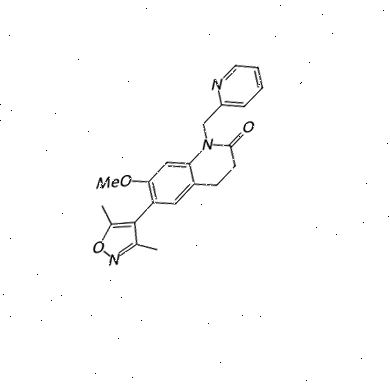 COc1cc2c(cc1-c1c(C)noc1C)CCC(=O)N2Cc1ccccn1